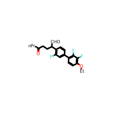 CCCC(=O)CCC(C=O)c1ccc(-c2ccc(OCC)c(F)c2F)cc1F